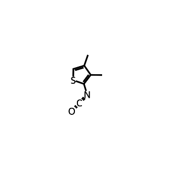 Cc1csc(N=C=O)c1C